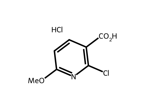 COc1ccc(C(=O)O)c(Cl)n1.Cl